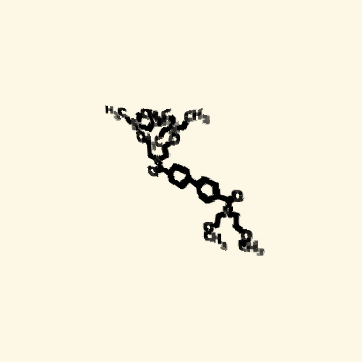 CC[Si](CC)(CC)OCCN(CCO[Si](CC)(CC)CC)C(=O)c1ccc(-c2ccc(C(=O)N(CCOC)CCOC)cc2)cc1